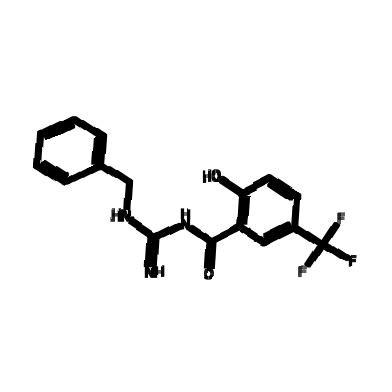 N=C(NCc1ccccc1)NC(=O)c1cc(C(F)(F)F)ccc1O